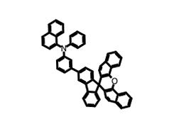 c1ccc(N(c2cccc(-c3ccc4c(c3)-c3ccccc3C43c4ccc5ccccc5c4Oc4c3ccc3ccccc43)c2)c2cccc3ccccc23)cc1